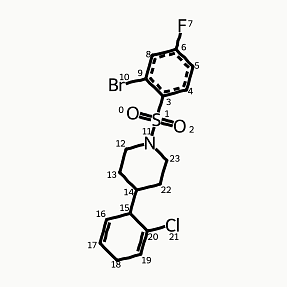 O=S(=O)(c1ccc(F)cc1Br)N1CCC(C2C=CCC=C2Cl)CC1